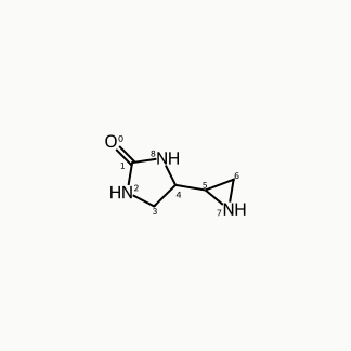 O=C1NCC(C2CN2)N1